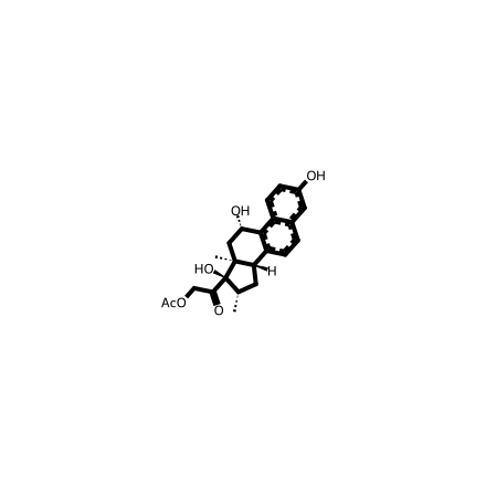 CC(=O)OCC(=O)[C@@]1(O)[C@@H](C)C[C@H]2c3ccc4cc(O)ccc4c3[C@@H](O)C[C@@]21C